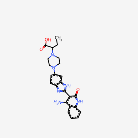 CCC(C(=O)O)N1CCN(c2ccc3nc(-c4c(N)c5ccccc5[nH]c4=O)[nH]c3c2)CC1